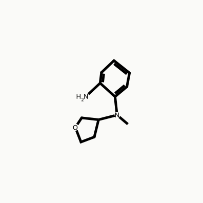 CN(c1ccccc1N)C1CCOC1